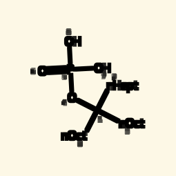 CCCCCCCCC(CCCCCCC)(CCCCCCCC)OP(=O)(O)O